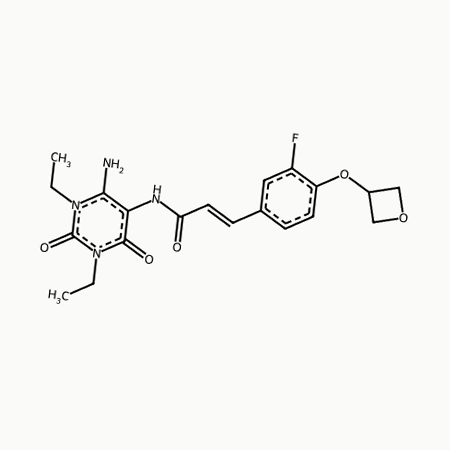 CCn1c(N)c(NC(=O)/C=C/c2ccc(OC3COC3)c(F)c2)c(=O)n(CC)c1=O